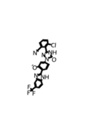 COc1cc(-n2nc(-c3c(Cl)cccc3C#N)[nH]c2=O)ccc1-c1nc2cc(C(F)(F)F)ccc2[nH]1